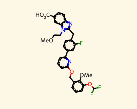 COCCn1c(Cc2ccc(-c3cccc(OCc4cccc(OC(F)F)c4OC)n3)cc2F)nc2ccc(C(=O)O)cc21